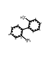 Cc1ccccc1-c1ccncc1N